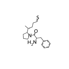 C[C](CCC=S)C1CCCN1C(=O)C(N)Cc1ccccc1